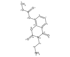 COC(=O)Oc1cccc2c(=O)n(CCN)c(=O)oc12